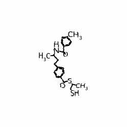 Cc1ccc(C(=O)NC(C)CCc2ccc(C(=O)SC(C)CS)cc2)cc1